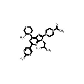 CC(=O)N1CCN(c2nc3c(N4CCOC[C@@H]4C)nc(-c4cnc(N)nc4)nc3n2CC(C)C)CC1